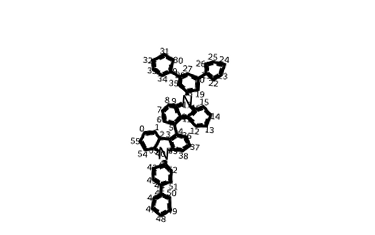 C1=CC2c3c(-c4cccc5c4c4ccccc4n5-c4cc(-c5ccccc5)cc(-c5ccccc5)c4)cccc3N(c3ccc(-c4ccccc4)cc3)C2C=C1